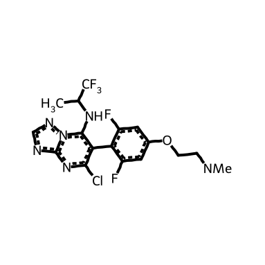 CNCCOc1cc(F)c(-c2c(Cl)nc3ncnn3c2NC(C)C(F)(F)F)c(F)c1